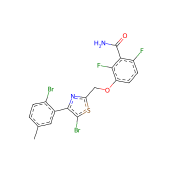 Cc1ccc(Br)c(-c2nc(COc3ccc(F)c(C(N)=O)c3F)sc2Br)c1